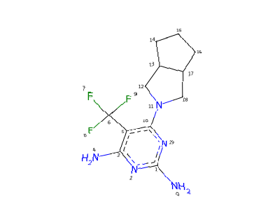 Nc1nc(N)c(C(F)(F)F)c(N2CC3CCCC3C2)n1